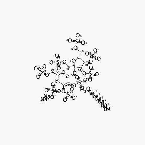 O.O=S(=O)([O-])OC[C@H]1O[C@@](COS(=O)(=O)[O-])(O[C@H]2O[C@H](COS(=O)(=O)[O-])[C@@H](OS(=O)(=O)[O-])[C@H](OS(=O)(=O)[O-])[C@H]2OS(=O)(=O)[O-])[C@@H](OS(=O)(=O)[O-])[C@@H]1OS(=O)(=O)[O-].[Na+].[Na+].[Na+].[Na+].[Na+].[Na+].[Na+].[Na+]